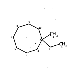 C[CH]C1(C)CCCCCCC1